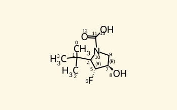 CC(C)(C)C1[C@@H](F)[C@H](O)CN1C(=O)O